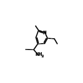 CCc1cc(C(C)N)cc(C)n1